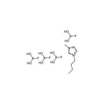 CCCC[n+]1ccn(C)c1.OB(O)F.OB(O)F.OB(O)F.OB(O)F